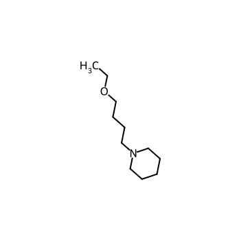 CCOCCCCN1CCCCC1